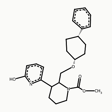 COC(=O)N1CCCC(c2cccc(O)n2)C1CO[C@H]1CC[C@@H](c2ccccc2)CC1